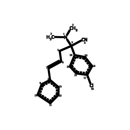 CN(C)C(C#N)(CC=Cc1ccccc1)c1ccc(Cl)cc1